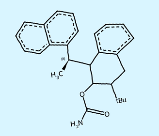 C[C@@H](c1cccc2ccccc12)C1c2ccccc2CC(C(C)(C)C)C1OC(N)=O